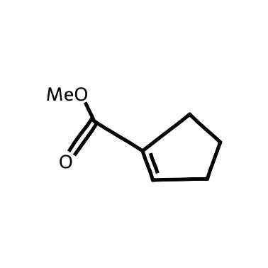 [CH2]OC(=O)C1=CCCC1